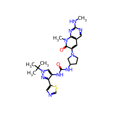 CNc1ncc2cc(N3CCC(NC(=O)Nc4cn(C(C)(C)C)nc4-c4cncs4)C3)c(=O)n(C)c2n1